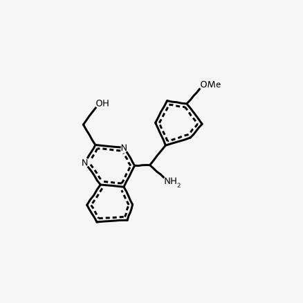 COc1ccc(C(N)c2nc(CO)nc3ccccc23)cc1